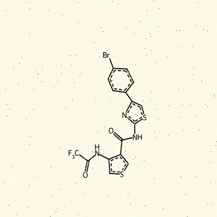 O=C(Nc1nc(-c2ccc(Br)cc2)cs1)c1cscc1NC(=O)C(F)(F)F